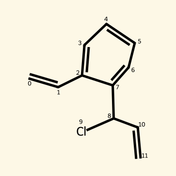 C=Cc1ccccc1C(Cl)C=C